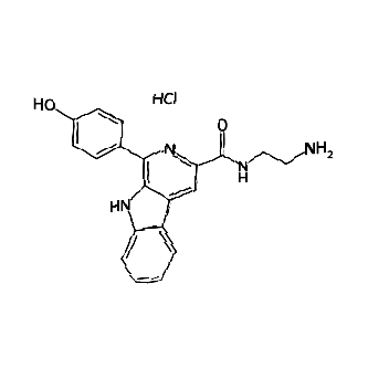 Cl.NCCNC(=O)c1cc2c([nH]c3ccccc32)c(-c2ccc(O)cc2)n1